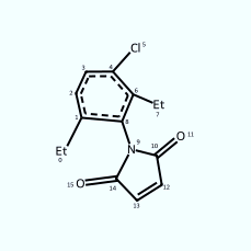 CCc1ccc(Cl)c(CC)c1N1C(=O)C=CC1=O